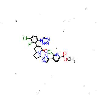 COC(=O)c1ccc(-c2cnc([C@@H]3CCC4CC(c5c(-n6cnnn6)ccc(Cl)c5F)=CC(=O)N43)[nH]2)c(Cl)n1